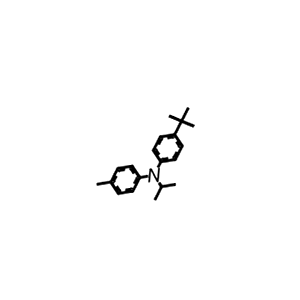 Cc1ccc(N(c2ccc(C(C)(C)C)cc2)C(C)C)cc1